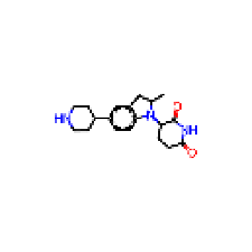 CC1Cc2cc(C3CCNCC3)ccc2N1C1CCC(=O)NC1=O